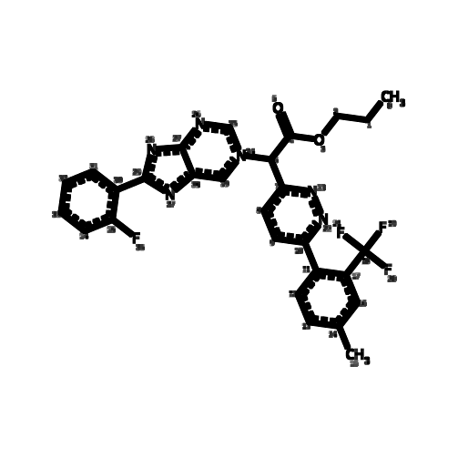 CCCOC(=O)C(c1ccc(-c2ccc(C)cc2C(F)(F)F)nn1)n1cnc2nc(-c3ccccc3F)nc-2c1